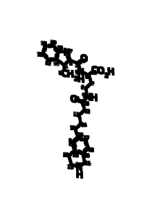 CC1C(C(=O)NC(CCNC(=O)CCCCc2ccc3c(n2)CCNC3)C(=O)O)=Nc2ccccc21